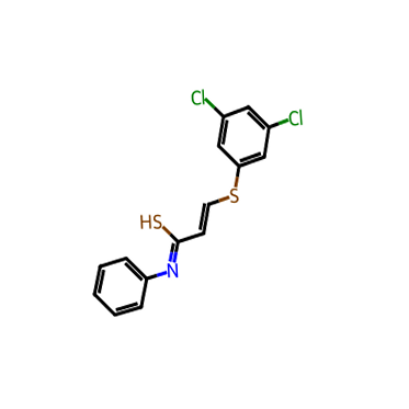 SC(C=CSc1cc(Cl)cc(Cl)c1)=Nc1ccccc1